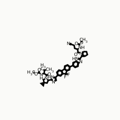 COC(=O)NC(CCC#N)C(=O)N1C2CCC(C2)C1c1nc2ccc(-c3ccc4c(c3)C(F)(F)c3cc(-c5cnc(C6CC7(CC7)CN6C(=O)C(NC(=O)OC)C(C)C)[nH]5)ccc3-4)cc2[nH]1